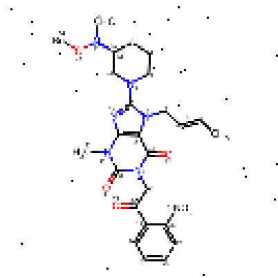 C/C=C/Cn1c(N2CCC[C@H](N(C=O)OC(C)(C)C)C2)nc2c1c(=O)n(CC(=O)c1ccccc1[N+](=O)[O-])c(=O)n2C